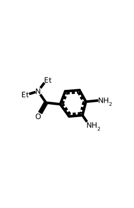 CCN(CC)C(=O)c1ccc(N)c(N)c1